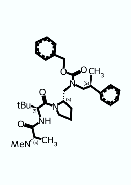 CN[C@@H](C)C(=O)N[C@H](C(=O)N1CCC[C@H]1CN(C[C@@H](C)c1ccccc1)C(=O)OCc1ccccc1)C(C)(C)C